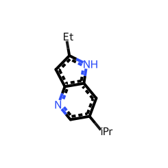 CCc1cc2ncc(C(C)C)cc2[nH]1